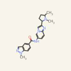 CC1CCC(c2cn3cc(NC(=O)c4ccc5c(cnn5C)c4)ccc3n2)N1C